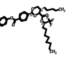 CCCCCCCC[C@@H](OC(=O)C1O[C@@H](c2ccc(C(=O)Oc3ccccc3)cc2)OC[C@@H]1CCCCC)C(F)(F)F